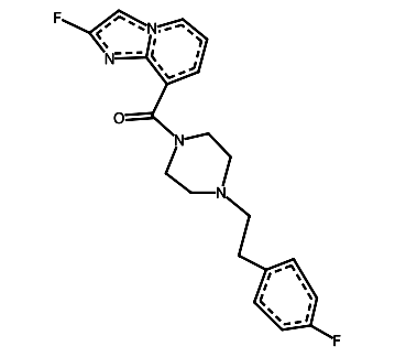 O=C(c1cccn2cc(F)nc12)N1CCN(CCc2ccc(F)cc2)CC1